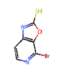 Sc1nc2ccnc(Br)c2o1